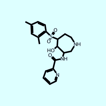 Cc1ccc(S(=O)(=O)C2CCNCC(NC(=O)c3ccccn3)C2O)c(C)c1